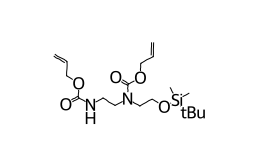 C=CCOC(=O)NCCN(CCO[Si](C)(C)C(C)(C)C)C(=O)OCC=C